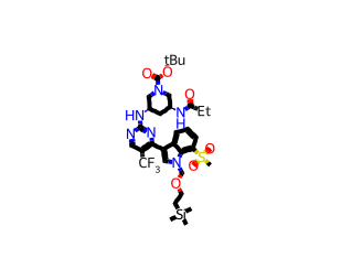 CCC(=O)N[C@@H]1C[C@H](Nc2ncc(C(F)(F)F)c(-c3cn(COCC[Si](C)(C)C)c4c(S(C)(=O)=O)cccc34)n2)CN(C(=O)OC(C)(C)C)C1